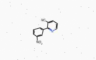 N#Cc1cccnc1-c1cccc([N+](=O)[O-])c1